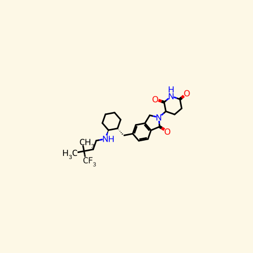 CC(C)(CCN[C@H]1CCCC[C@@H]1Cc1ccc2c(c1)CN(C1CCC(=O)NC1=O)C2=O)C(F)(F)F